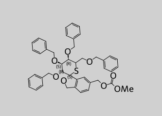 COC(=O)OCc1ccc2c(c1)[C@]1(OC2)SC(COCc2ccccc2)[C@H](OCc2ccccc2)[C@H](OCc2ccccc2)[C@H]1OCc1ccccc1